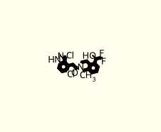 C[C@H]1c2cccc([C@@H](O)C(F)F)c2CCN1C(=O)Cc1c(Cl)ccc2[nH]nc(Cl)c12